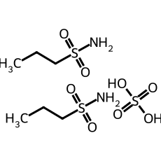 CCCS(N)(=O)=O.CCCS(N)(=O)=O.O=S(=O)(O)O